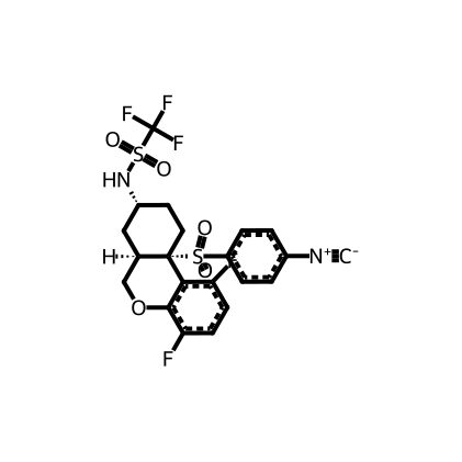 [C-]#[N+]c1ccc(S(=O)(=O)[C@@]23CC[C@@H](NS(=O)(=O)C(F)(F)F)C[C@@H]2COc2c(F)ccc(F)c23)cc1